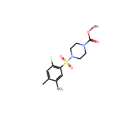 Cc1cc(F)c(S(=O)(=O)N2CCN(C(=O)OC(C)(C)C)CC2)cc1[N+](=O)[O-]